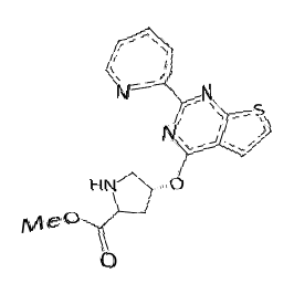 COC(=O)C1C[C@@H](Oc2nc(-c3ccccn3)nc3sccc23)CN1